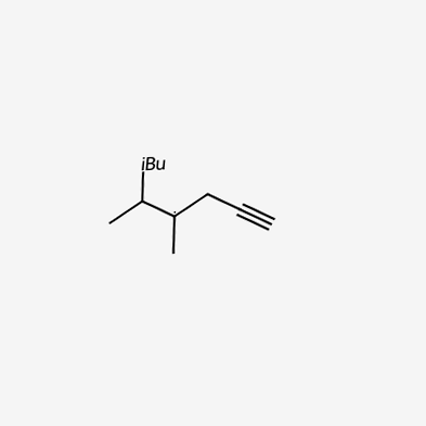 C#CC[C](C)C(C)C(C)CC